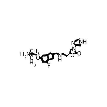 CC(C)(N)COc1cc(F)c2c(c1)CC(CNCC[C@H]1CN(C3=CNCC=N3)C(=O)O1)C2